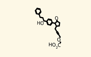 O=C(O)COCC#CCC1CCC(=O)C1c1ccc(C(O)CCc2ccccc2)cc1